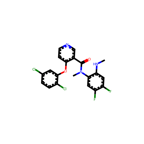 CNc1cc(F)c(F)cc1N(C)C(=O)c1cnccc1Oc1cc(Cl)ccc1Cl